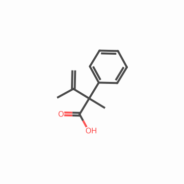 C=C(C)C(C)(C(=O)O)c1ccccc1